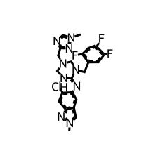 Cn1cnc(CN2CN/C(=N\c3cc4cn(C)nc4cc3Cl)N(Cc3cc(F)c(F)cc3F)C2)n1